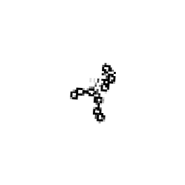 CC1(C)c2cc(-n3c4ccc(-c5ccc6ccccc6c5)cc4c4cc(-c5ccc6ccccc6c5)ccc43)ccc2-c2ccc3sc4ccccc4c3c21